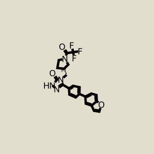 O=C(N1CC[C@@H](Cn2c(-c3ccc(-c4ccc5occc5c4)cc3)n[nH]c2=O)C1)C(F)(F)F